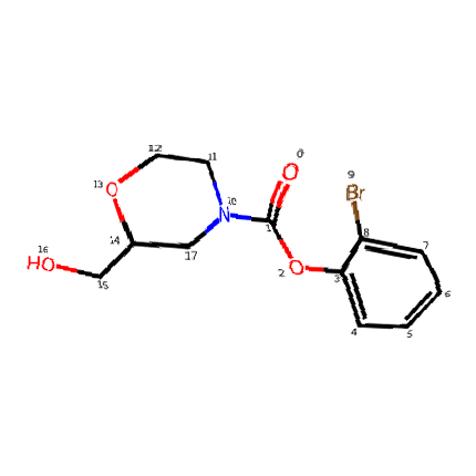 O=C(Oc1ccccc1Br)N1CCOC(CO)C1